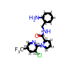 Nc1ccccc1CNC(=O)c1cccn1-c1ncc(C(F)(F)F)cc1Cl